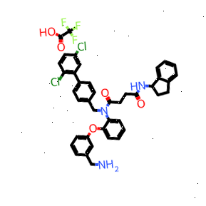 NCc1cccc(Oc2ccccc2N(Cc2ccc(-c3cc(Cl)ccc3Cl)cc2)C(=O)CCC(=O)NC2CCc3ccccc32)c1.O=C(O)C(F)(F)F